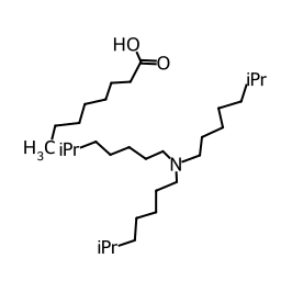 CC(C)CCCCCN(CCCCCC(C)C)CCCCCC(C)C.CCCCCCCC(=O)O